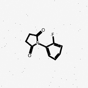 O=C1CCC(=O)N1c1ccccc1F